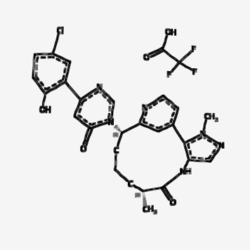 C[C@@H]1CCC[C@H](n2cnc(-c3cc(Cl)ccc3O)cc2=O)c2cc(ccn2)-c2c(cnn2C)NC1=O.O=C(O)C(F)(F)F